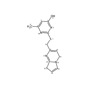 Cc1cc(O)nc(SCC2=CCN3C=CSC3=N2)n1